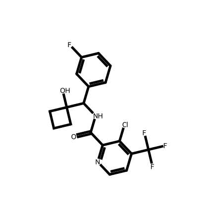 O=C(NC(c1cccc(F)c1)C1(O)CCC1)c1nccc(C(F)(F)F)c1Cl